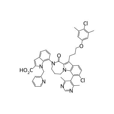 Cc1cc(OCCCc2c3n(c4c(-c5c(C)ncnc5C)c(Cl)ccc24)CCCN(c2cccc4cc(C(=O)O)n(Cc5ccccn5)c24)C3=O)cc(C)c1Cl